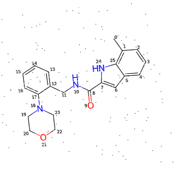 Cc1cccc2cc(C(=O)NCc3ccccc3N3CCOCC3)[nH]c12